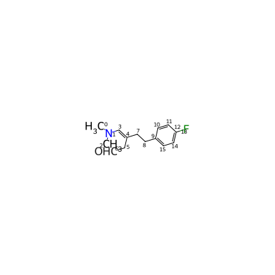 CN(C)C=C(CC=O)CCc1ccc(F)cc1